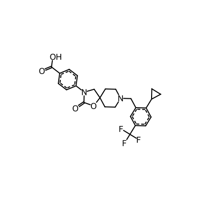 O=C(O)c1ccc(N2CC3(CCN(Cc4cc(C(F)(F)F)ccc4C4CC4)CC3)OC2=O)cc1